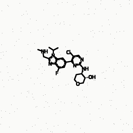 CNCc1nc2c(F)cc(-c3nc(N[C@@H]4CCOC[C@H]4O)ncc3Cl)cc2n1C(C)C